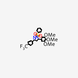 COc1cc(C2CC(c3ccc(C(F)(F)F)cc3)=NN2S(=O)(=O)c2ccccc2)cc(OC)c1OC